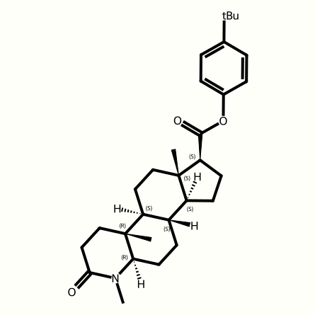 CN1C(=O)CC[C@]2(C)[C@H]3CC[C@]4(C)[C@@H](C(=O)Oc5ccc(C(C)(C)C)cc5)CC[C@H]4[C@@H]3CC[C@@H]12